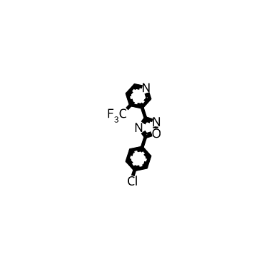 FC(F)(F)c1ccncc1-c1noc(-c2ccc(Cl)cc2)n1